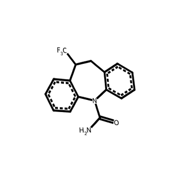 NC(=O)N1c2ccccc2CC(C(F)(F)F)c2ccccc21